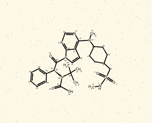 CNS(=O)(=O)CC1CCC(N(C)c2ncnc3c2ccn3C(=O)[C@H](c2ccccc2)N(C(=O)O)C(C)(C)C)CC1